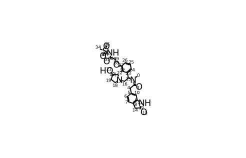 CN(C(=O)Cc1ccc2c(c1)NC(=O)C2)C(CN1CC[C@H](O)C1)c1cccc(OCC(=O)NS(C)(=O)=O)c1